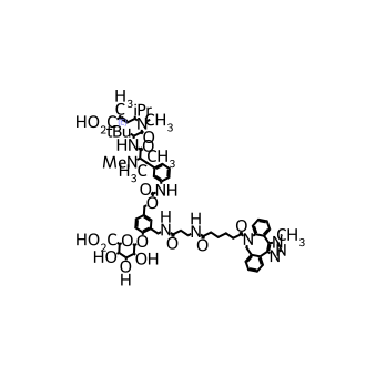 CNC(C(=O)NC(C(=O)N(C)C(/C=C(\C)C(=O)O)C(C)C)C(C)(C)C)C(C)(C)c1cccc(NC(=O)OCc2ccc(OC3OC(C(=O)O)C(O)C(O)C3O)c(CNC(=O)CCNC(=O)CCCCC(=O)N3Cc4ccccc4-c4nnn(C)c4-c4ccccc43)c2)c1